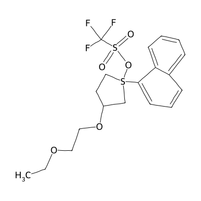 CCOCCOC1CCS(OS(=O)(=O)C(F)(F)F)(c2cccc3ccccc23)C1